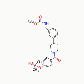 CC(C)(C)OC(=O)NCc1cccc(C2CCN(C(=O)c3ccc(OC(C)(C)O)cc3)CC2)c1